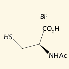 CC(=O)N[C@@H](CS)C(=O)O.[Bi]